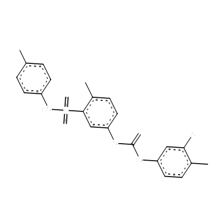 Cc1ccc(NC(=O)Nc2ccc(C)c(S(=O)(=O)Nc3ccc(Cl)cc3)c2)cc1[N+](=O)[O-]